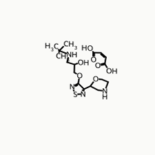 CC(C)(C)NCC(O)COc1nsnc1C1CNCCO1.O=C(O)/C=C\C(=O)O